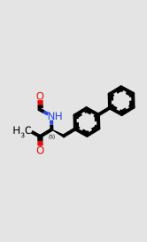 CC(=O)[C@H](Cc1ccc(-c2ccccc2)cc1)NC=O